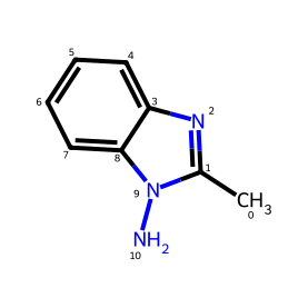 Cc1nc2ccccc2n1N